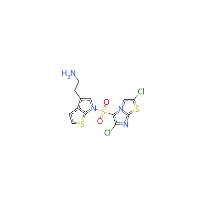 NCCc1cn(S(=O)(=O)c2c(Cl)nc3sc(Cl)cn23)c2sccc12